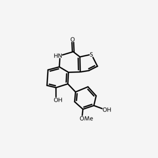 COc1cc(-c2c(O)ccc3[nH]c(=O)c4sccc4c23)ccc1O